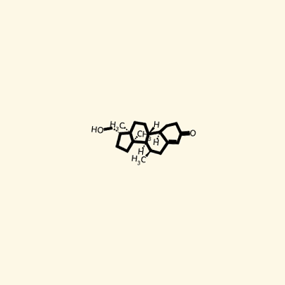 C[C@@H]1CC2=CC(=O)CC[C@@H]2[C@H]2CC[C@]3(C)[C@@H](CO)CC[C@]3(C)[C@@H]21